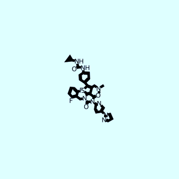 CN(C)Cc1c(-c2ccc(NC(=O)NC3CC3)cc2)sc2c1c(=O)n(-c1ccc(-n3cccn3)cn1)c(=O)n2Cc1c(F)cccc1F